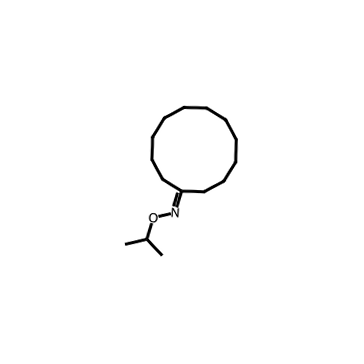 CC(C)ON=C1CCCCCCCCCCC1